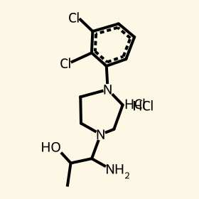 CC(O)C(N)N1CCN(c2cccc(Cl)c2Cl)CC1.Cl.Cl